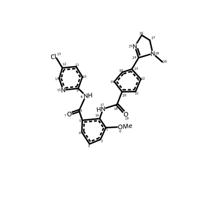 COc1cccc(C(=O)Nc2ccc(Cl)cn2)c1NC(=O)c1ccc(C2=NCCN2C)cc1